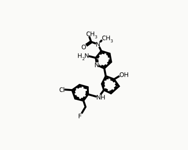 CC(=O)N(C)c1ccc(-c2cc(Nc3ccc(Cl)cc3CF)ccc2O)nc1N